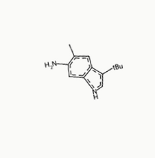 Cc1cc2c(C(C)(C)C)c[nH]c2cc1N